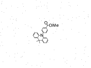 COC(=O)c1ccc(N2c3ccccc3C(C)(C)c3ccccc32)cc1